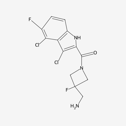 NCC1(F)CN(C(=O)c2[nH]c3ccc(F)c(Cl)c3c2Cl)C1